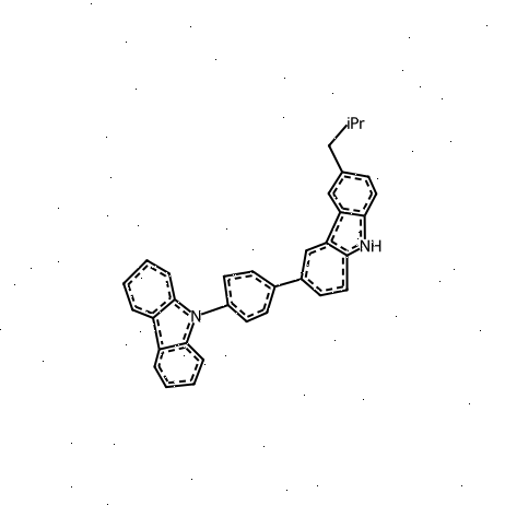 CC(C)Cc1ccc2[nH]c3ccc(-c4ccc(-n5c6ccccc6c6ccccc65)cc4)cc3c2c1